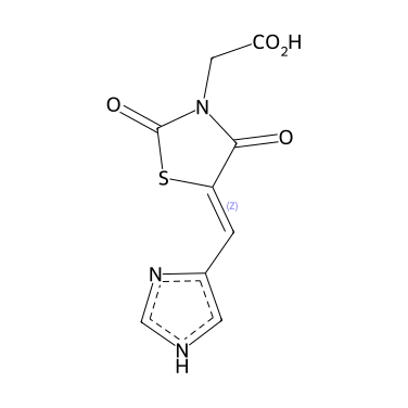 O=C(O)CN1C(=O)S/C(=C\c2c[nH]cn2)C1=O